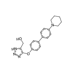 OCc1[nH]nnc1Oc1ccc(-c2ccc(N3CCCCC3)cc2)cc1